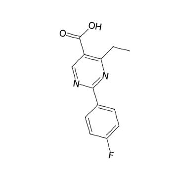 CCc1nc(-c2ccc(F)cc2)ncc1C(=O)O